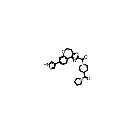 O=C(c1nc2c(s1)CCOc1cc(-c3cn[nH]c3)ccc1-2)N1CCC(C(=O)N2CCCC2)CC1